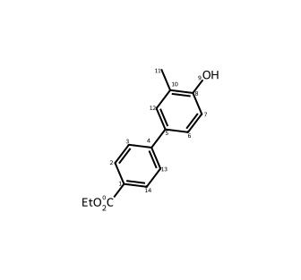 CCOC(=O)c1ccc(-c2ccc(O)c(C)c2)cc1